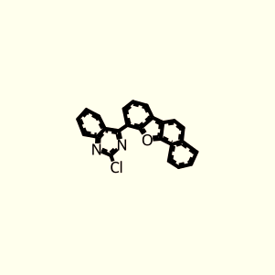 Clc1nc(-c2cccc3c2oc2c4ccccc4ccc32)c2ccccc2n1